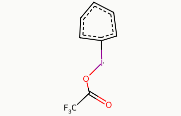 O=C(O[I]c1ccccc1)C(F)(F)F